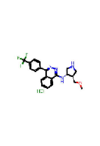 COC[C@@H]1CNC[C@H]1Nc1nnc(-c2ccc(C(F)(F)F)cc2)c2ccccc12.Cl